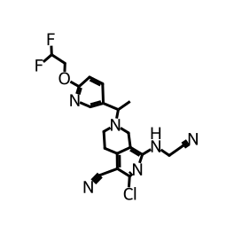 CC(c1ccc(OCC(F)F)nc1)N1CCc2c(C#N)c(Cl)nc(NCC#N)c2C1